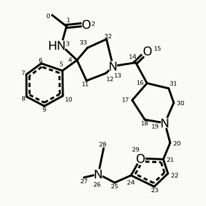 CC(=O)NC1(c2ccccc2)CCN(C(=O)C2CCN(Cc3ccc(CN(C)C)o3)CC2)CC1